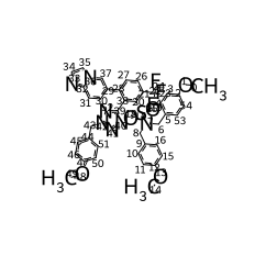 COc1ccc(CN(Cc2ccc(OC)cc2)S(=O)(=O)c2c(C(F)(F)F)ccc(-c3ccc4nccn4c3)c2-c2nnn(Cc3ccc(OC)cc3)n2)cc1